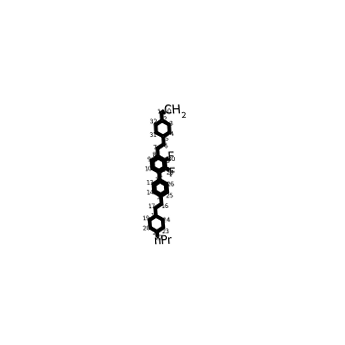 C=CC1CCC(CCc2ccc(-c3ccc(CCC4CCC(CCC)CC4)cc3)c(F)c2F)CC1